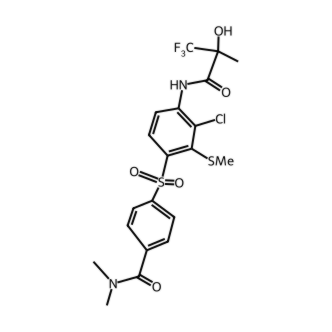 CSc1c(S(=O)(=O)c2ccc(C(=O)N(C)C)cc2)ccc(NC(=O)C(C)(O)C(F)(F)F)c1Cl